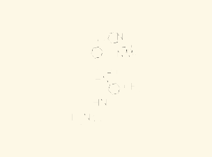 CNC(=O)c1cc(Oc2ccc3c(c2)CC(C(=O)Nc2cc(CNCCC(N)=O)cc(C(F)(F)F)c2)CC3)ccn1